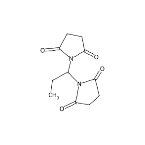 CC[C](N1C(=O)CCC1=O)N1C(=O)CCC1=O